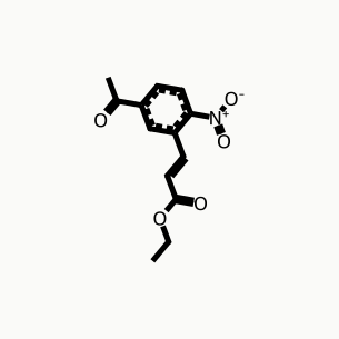 CCOC(=O)C=Cc1cc(C(C)=O)ccc1[N+](=O)[O-]